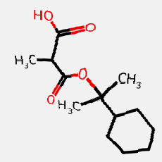 CC(C(=O)O)C(=O)OC(C)(C)C1CCCCC1